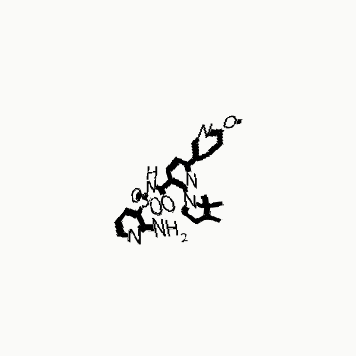 COc1ccc(-c2ccc(C(=O)NS(=O)(=O)c3cccnc3N)c(N3CCC(C)C3(C)C)n2)cn1